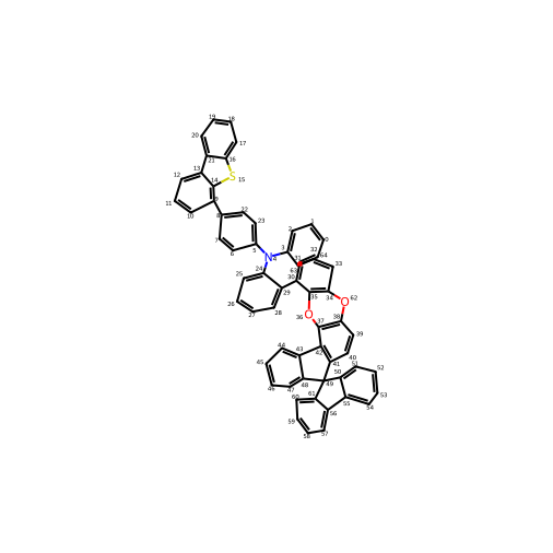 c1ccc(N(c2ccc(-c3cccc4c3sc3ccccc34)cc2)c2ccccc2-c2cccc3c2Oc2c(ccc4c2-c2ccccc2C42c4ccccc4-c4ccccc42)O3)cc1